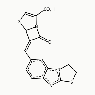 O=C(O)C1=CSC2C(=Cc3ccc4nc5n(c4c3)CCS5)C(=O)N12